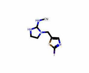 N#CNC1NCCN1Cc1cnc(I)s1